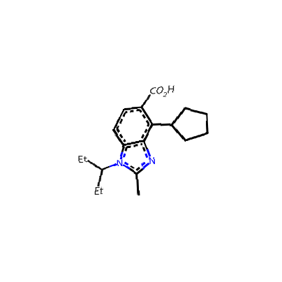 CCC(CC)n1c(C)nc2c(C3CCCC3)c(C(=O)O)ccc21